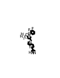 CC1(C)CC(Cn2ccc3nc(-c4cn[nH]c4)ccc32)CN1Oc1cccc(F)c1F